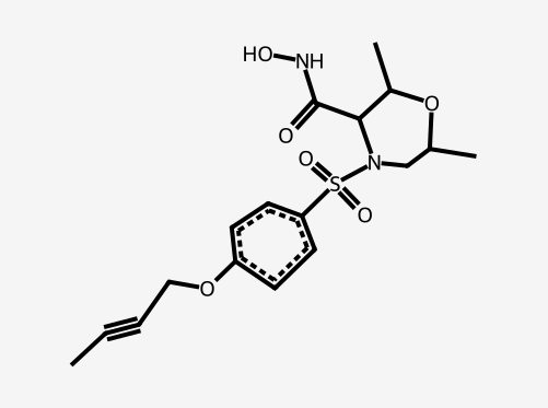 CC#CCOc1ccc(S(=O)(=O)N2CC(C)OC(C)C2C(=O)NO)cc1